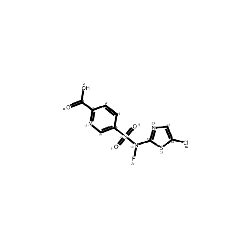 O=C(O)c1ccc(S(=O)(=O)N(F)c2ncc(Cl)s2)cn1